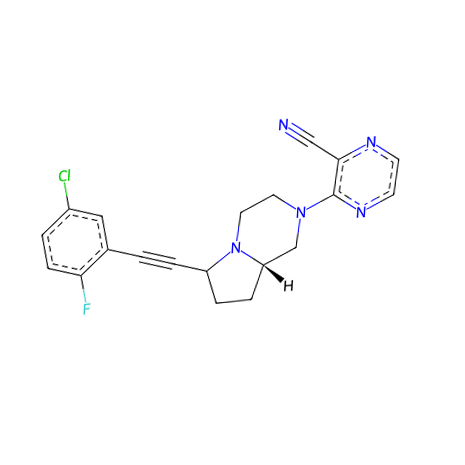 N#Cc1nccnc1N1CCN2C(C#Cc3cc(Cl)ccc3F)CC[C@H]2C1